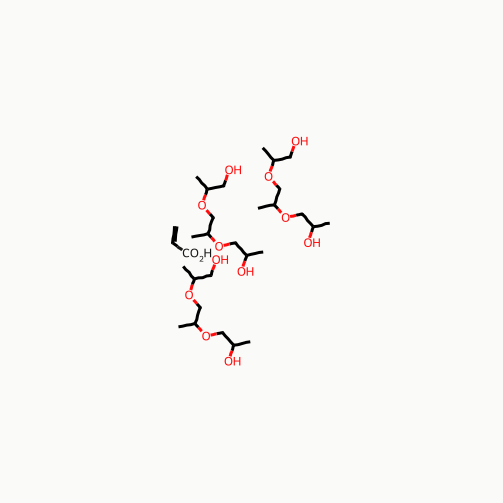 C=CC(=O)O.CC(O)COC(C)COC(C)CO.CC(O)COC(C)COC(C)CO.CC(O)COC(C)COC(C)CO